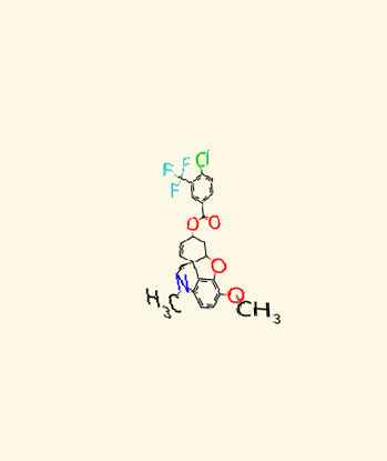 COc1ccc2c3c1OC1C[C@@H](OC(=O)c4ccc(Cl)c(C(F)(F)F)c4)C=C[C@@]31CCN2C